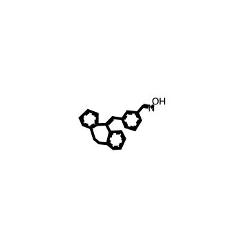 ON=Cc1cccc(C=C2c3ccccc3CCc3ccccc32)c1